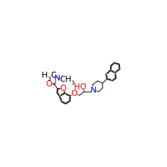 CN(C)C(=O)c1cc2cccc(OCC(O)CN3CCC(c4ccc5ccccc5c4)CC3)c2o1